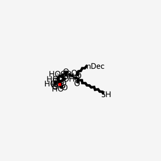 CCCCCCCCCCCCCCCC(=O)O[C@H](COC(=O)CCCCCCCCCCCS)COP(=O)(O)OC1C(O)[C@H](OP(=O)(O)O)C(OP(=O)(O)O)[C@H](O)[C@@H]1O